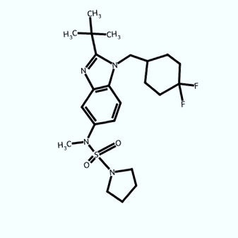 CN(c1ccc2c(c1)nc(C(C)(C)C)n2CC1CCC(F)(F)CC1)S(=O)(=O)N1CCCC1